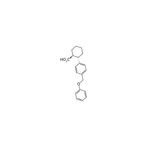 O=C(O)[C@H]1CCCC[C@@H]1c1ccc(COc2ccccc2)cc1